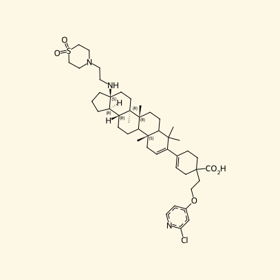 CC1(C)C(C2=CCC(CCOc3ccnc(Cl)c3)(C(=O)O)CC2)=CC[C@@]2(C)C1CC[C@]1(C)C2CC[C@@H]2[C@H]3CCC[C@]3(NCCN3CCS(=O)(=O)CC3)CC[C@]21C